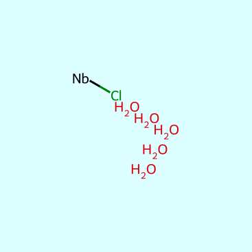 O.O.O.O.O.[Cl][Nb]